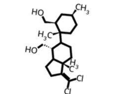 C[C@H]1CC[C@](C)(C2CC[C@]3(C)C(=C(Cl)Cl)CCC3[C@@H]2CO)[C@@H](CO)C1